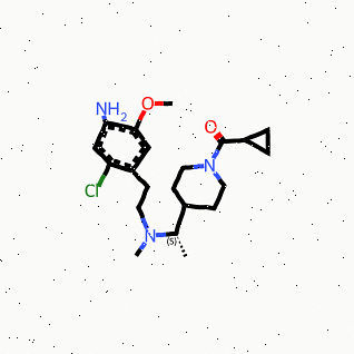 COc1cc(CCN(C)[C@@H](C)C2CCN(C(=O)C3CC3)CC2)c(Cl)cc1N